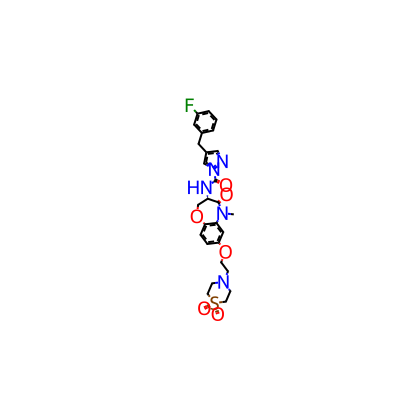 CN1C(=O)[C@@H](NC(=O)n2cc(Cc3cccc(F)c3)cn2)COc2ccc(OCCN3CCS(=O)(=O)CC3)cc21